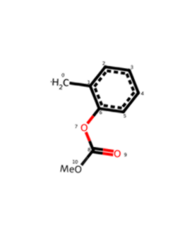 [CH2]c1ccccc1OC(=O)OC